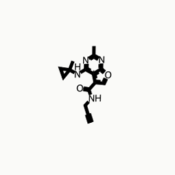 C#CCNC(=O)c1coc2nc(C)nc(NC3(C)CC3)c12